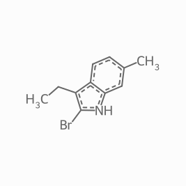 CCc1c(Br)[nH]c2cc(C)ccc12